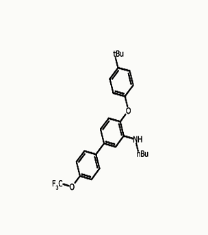 CCCCNc1cc(-c2ccc(OC(F)(F)F)cc2)ccc1Oc1ccc(C(C)(C)C)cc1